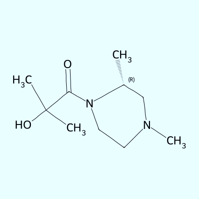 C[C@@H]1CN(C)CCN1C(=O)C(C)(C)O